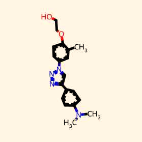 Cc1cc(-n2cc(-c3ccc(N(C)C)cc3)nn2)ccc1OCCO